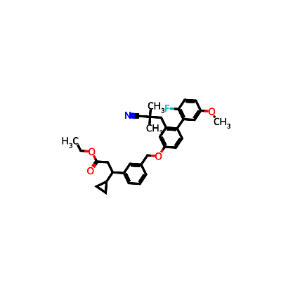 CCOC(=O)CC(c1cccc(COc2ccc(-c3cc(OC)ccc3F)c(CC(C)(C)C#N)c2)c1)C1CC1